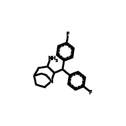 NC1CC2CCN(CC2)C1C(c1ccc(F)cc1)c1ccc(F)cc1